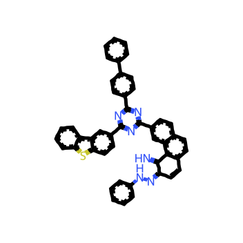 N=C1/C(=N\Nc2ccccc2)C=Cc2ccc3ccc(-c4nc(-c5ccc(-c6ccccc6)cc5)nc(-c5ccc6sc7ccccc7c6c5)n4)cc3c21